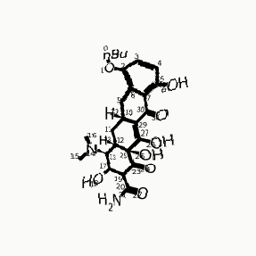 CCCCOc1ccc(O)c2c1C[C@H]1C[C@H]3[C@H](N(C)C)C(O)C(C(N)=O)C(=O)[C@@]3(O)C(O)=C1C2=O